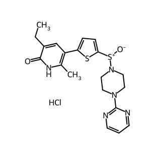 CCc1cc(-c2ccc([S+]([O-])N3CCN(c4ncccn4)CC3)s2)c(C)[nH]c1=O.Cl